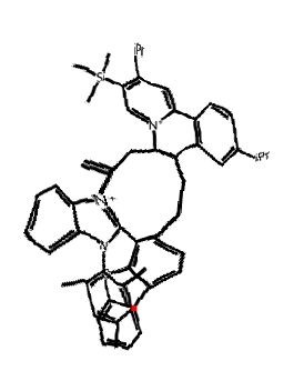 C=C1CC2C(CCc3ccc4c(oc5ccccc54)c3-c3n(-c4c(C)cc(C)cc4C)c4ccccc4[n+]31)c1cc(C(C)C)ccc1-c1cc(C(C)C)c([Si](C)(C)C)c[n+]12